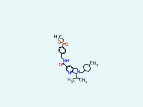 CCS(=O)(=O)c1ccc(CNC(=O)c2cnc3c(c2)CN(CC2CCC(C)CC2)[C@H]3C(C)C)cc1